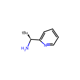 CC(C)(C)[C@H](N)c1ccccn1